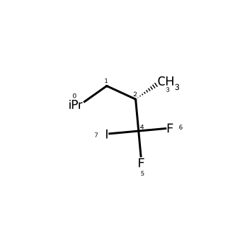 CC(C)C[C@H](C)C(F)(F)I